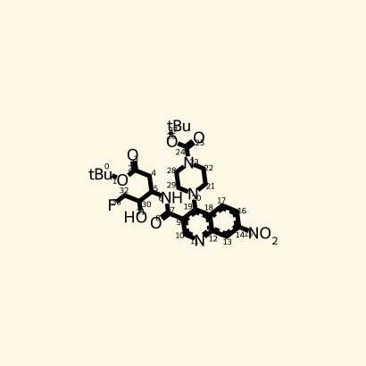 CC(C)(C)OC(=O)CC(NC(=O)c1cnc2cc([N+](=O)[O-])ccc2c1N1CCN(C(=O)OC(C)(C)C)CC1)C(O)CF